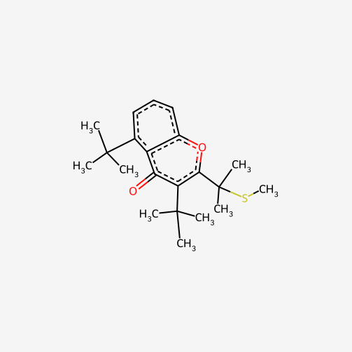 CSC(C)(C)c1oc2cccc(C(C)(C)C)c2c(=O)c1C(C)(C)C